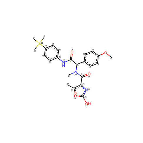 COc1ccc(C(C(=O)Nc2ccc(S(C)(C)C)cc2)N(C)C(=O)c2nc(O)oc2C)cc1